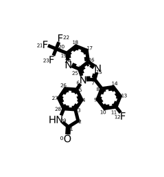 O=C1Cc2cc(-n3c(-c4ccc(F)cc4)nc4ccc(C(F)(F)F)nc43)ccc2N1